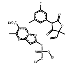 C=CC1(C)OC(=O)N(c2cc(Cl)cc(Cl)c2)C1=O.CCOC(=O)c1cn2nc(OP(=S)(OCC)OCC)cc2nc1C